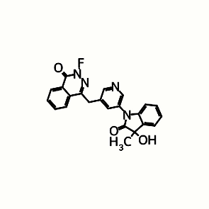 CC1(O)C(=O)N(c2cncc(Cc3nn(F)c(=O)c4ccccc34)c2)c2ccccc21